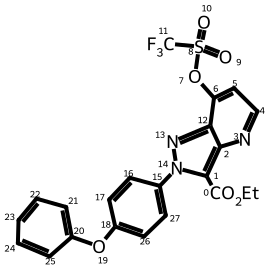 CCOC(=O)c1c2nccc(OS(=O)(=O)C(F)(F)F)c2nn1-c1ccc(Oc2ccccc2)cc1